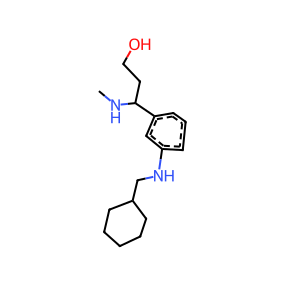 CNC(CCO)c1cccc(NCC2CCCCC2)c1